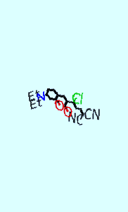 CCN(CC)c1ccc2cc(/C(Cl)=C/C=C(C#N)C#N)c(=O)oc2c1